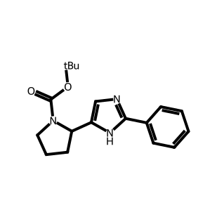 CC(C)(C)OC(=O)N1CCCC1c1cnc(-c2ccccc2)[nH]1